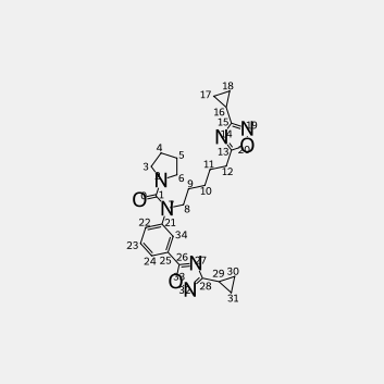 O=C(N1CCCC1)N(CCCCCc1nc(C2CC2)no1)c1cccc(-c2nc(C3CC3)no2)c1